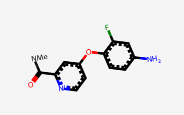 CNC(=O)c1cc(Oc2ccc(N)cc2F)ccn1